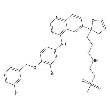 CS(=O)(=O)CCNCCCC1(c2ccc3ncnc(Nc4ccc(OCc5cccc(F)c5)c(Br)c4)c3c2)CC=CO1